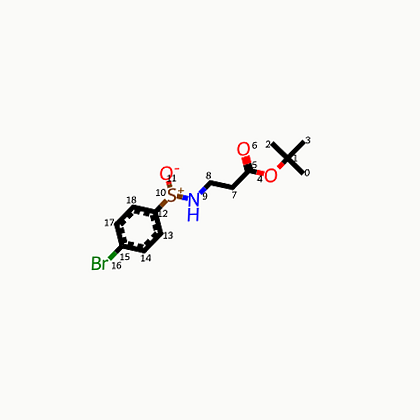 CC(C)(C)OC(=O)CCN[S+]([O-])c1ccc(Br)cc1